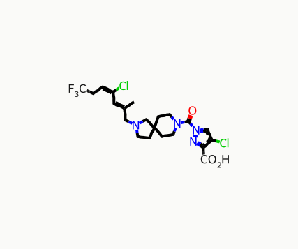 C/C(=C\C(Cl)=C/CC(F)(F)F)CN1CCC2(CCN(C(=O)n3cc(Cl)c(C(=O)O)n3)CC2)C1